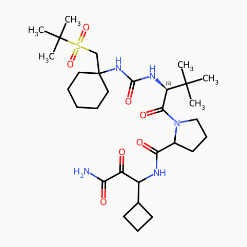 CC(C)(C)[C@H](NC(=O)NC1(CS(=O)(=O)C(C)(C)C)CCCCC1)C(=O)N1CCCC1C(=O)NC(C(=O)C(N)=O)C1CCC1